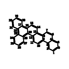 c1ccc2c(c1)ccc1c2ccc2c1ccc1c3ccccc3c3ccccc3c21